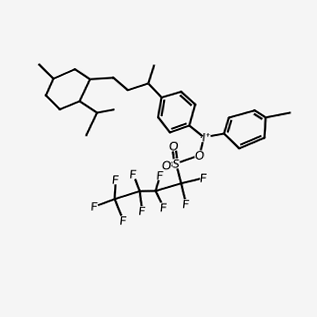 Cc1ccc([I+](OS(=O)(=O)C(F)(F)C(F)(F)C(F)(F)C(F)(F)F)c2ccc(C(C)CCC3CC(C)CCC3C(C)C)cc2)cc1